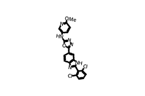 COc1ccc(Nc2nnc(-c3ccc4nc(-c5c(Cl)cccc5Cl)[nH]c4c3)o2)cn1